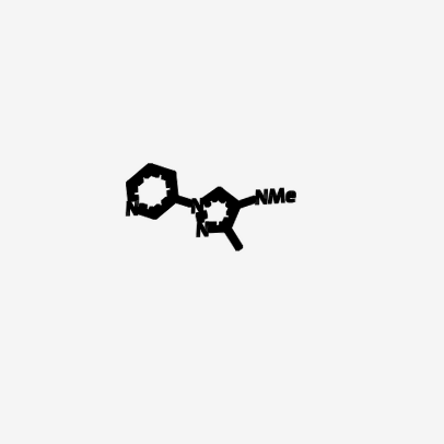 CNc1cn(-c2cccnc2)nc1C